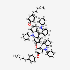 CCCCc1ccc(Oc2cc3c4c(c2)N(c2ccccc2)c2ccccc2B4c2cc4c(cc2O3)N(c2ccccc2)c2cc(Oc3ccc(CCCC)cc3)cc3c2B4c2ccccc2N3c2ccccc2)cc1